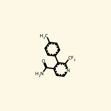 Cc1ccc(-c2c(C(N)=O)ccnc2C(F)(F)F)cc1